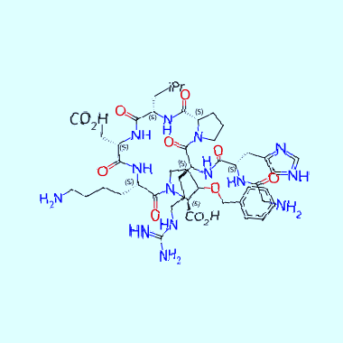 CC(C)C[C@H](NC(=O)[C@@H]1CCCN1C(=O)[C@H](CCCNC(=N)N)NC(=O)[C@H](Cc1c[nH]cn1)NC(=O)CN)C(=O)N[C@@H](CC(=O)O)C(=O)N[C@@H](CCCCN)C(=O)N1CCC(OCc2ccccc2)[C@H]1C(=O)O